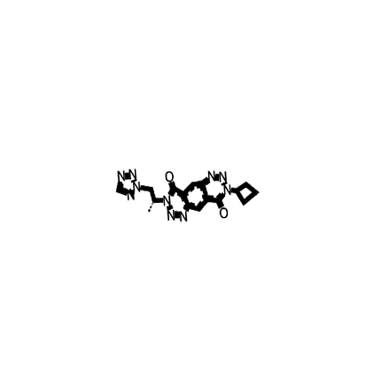 C[C@H](Cn1ncnn1)n1nnc2cc3c(=O)n(C4CCC4)nnc3cc2c1=O